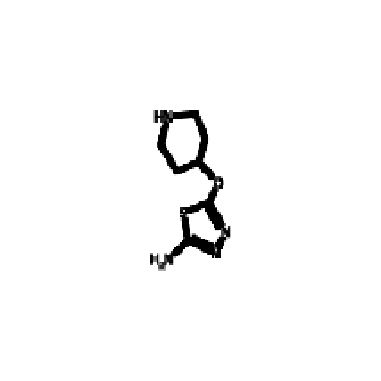 Nc1nnc(OC2CCNCC2)s1